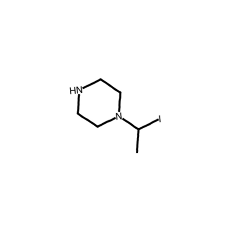 CC(I)N1CCNCC1